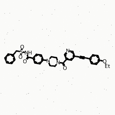 CCOc1ccc(C#Cc2cncc(C(=O)N3CCN(c4ccc(C(=O)NS(=O)(=O)Cc5ccccc5)cc4)CC3)c2)cc1